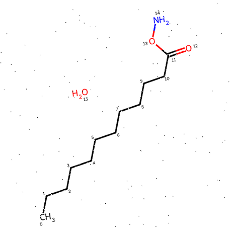 CCCCCCCCCCCC(=O)ON.O